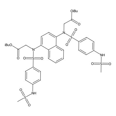 CC(C)COC(=O)CN(c1ccc(N(CC(=O)OCC(C)C)S(=O)(=O)c2ccc(NS(C)(=O)=O)cc2)c2ccccc12)S(=O)(=O)c1ccc(NS(C)(=O)=O)cc1